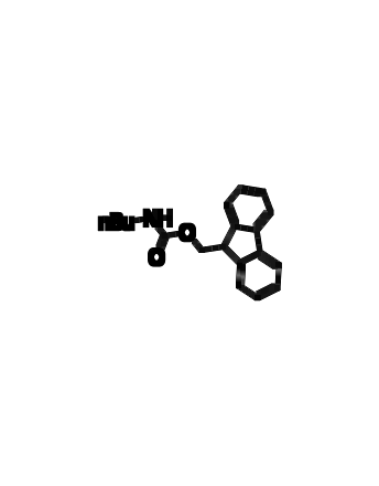 CCCCNC(=O)OCC1c2ccccc2-c2ccccc21